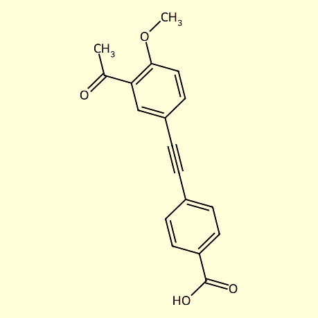 COc1ccc(C#Cc2ccc(C(=O)O)cc2)cc1C(C)=O